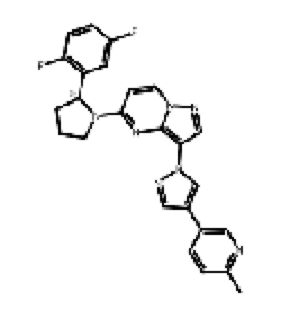 Cc1ccc(-c2cnn(-c3cnn4ccc(N5CCC[C@H]5c5cc(F)ccc5F)nc34)c2)cn1